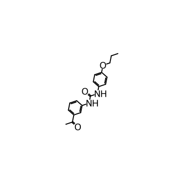 CCCOc1ccc(NC(=O)Nc2cccc(C(C)=O)c2)cc1